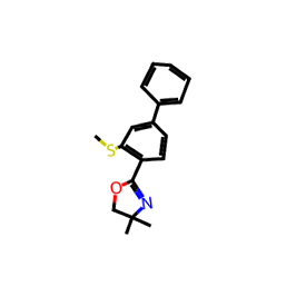 CSc1cc(-c2ccccc2)ccc1C1=NC(C)(C)CO1